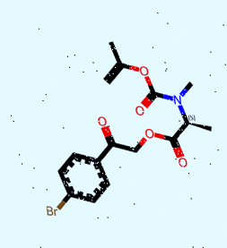 C=C(C)OC(=O)N(C)[C@@H](C)C(=O)OCC(=O)c1ccc(Br)cc1